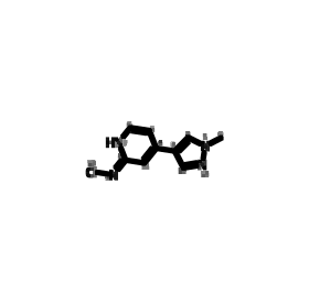 Cn1cc(-c2cc[nH]/c(=N\Cl)c2)cn1